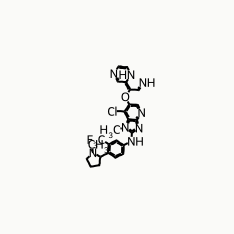 CN1CCCC1c1ccc(Nc2nc3ncc(O/C(C=N)=C4\C=NC=CN4)c(Cl)c3n2C)cc1C(F)(F)F